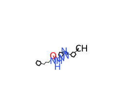 C#Cc1cccc(-c2cnc3ccc(NC(=O)NCCCCc4ccccc4)nc3n2)c1